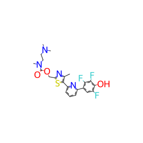 Cc1nc(COC(=O)N(C)CCN(C)C)sc1-c1cccc(-c2cc(F)c(O)c(F)c2F)n1